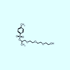 Cc1ccc(S(=O)(=O)OC(C)COCCOCCOCCO)cc1